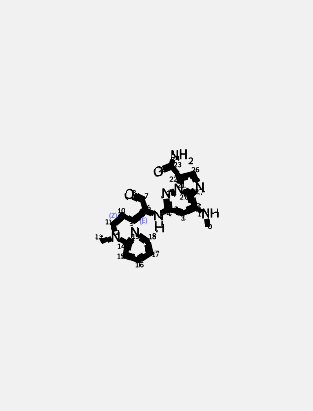 CNc1cc(N/C(C=O)=C/C=C\N(C)c2ccccn2)nn2c(C(N)=O)cnc12